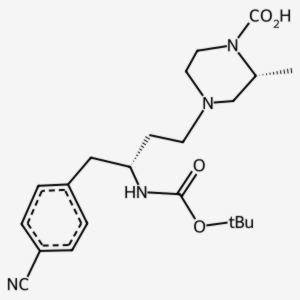 C[C@@H]1CN(CC[C@@H](Cc2ccc(C#N)cc2)NC(=O)OC(C)(C)C)CCN1C(=O)O